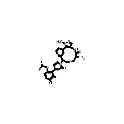 CC1CCCC(n2ccc(-c3c(OC(F)F)ccc(Cl)c3F)cc2=O)c2cc(ccn2)-c2c(cnn2C)NC1=O